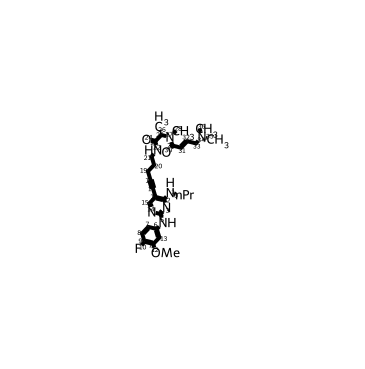 CCCNc1nc(Nc2ccc(F)c(OC)c2)ncc1C#CCCCNC(=O)[C@H](C)N(C)C(=O)/C=C/CN(C)C